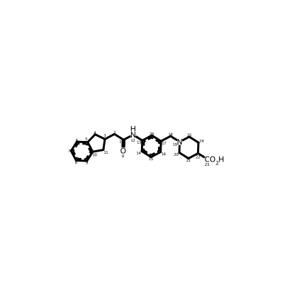 O=C(CC1Cc2ccccc2C1)Nc1cccc(CN2CCC(C(=O)O)CC2)c1